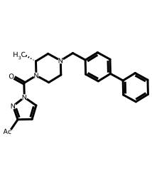 CC(=O)c1ccn(C(=O)N2CCN(Cc3ccc(-c4ccccc4)cc3)C[C@H]2C)n1